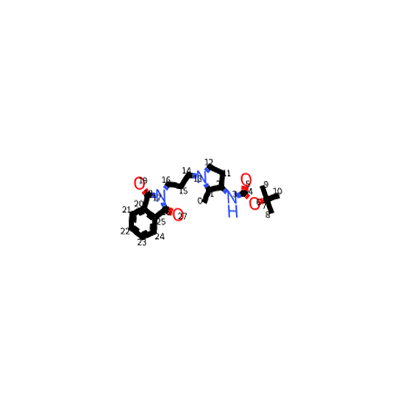 CC1C(NC(=O)OC(C)(C)C)CCN1CCCN1C(=O)c2ccccc2C1=O